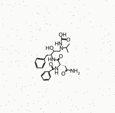 CC(C)N(C[C@H](O)[C@H](Cc1ccccc1)NC(=O)[C@H](CC(N)=O)NC(=O)c1ccccc1)NC(=O)O